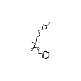 CN(CCCO[C@H]1C[C@H](C)C1)C(=O)OCc1ccccc1